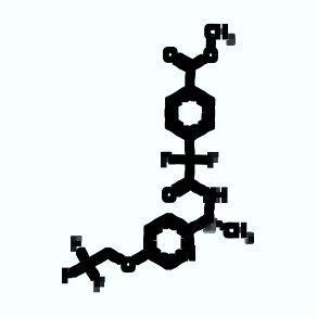 COC(=O)c1ccc(C(F)(F)C(=O)N[C@H](C)c2ccc(OCC(F)(F)F)cn2)cc1